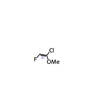 CO/C(Cl)=C\F